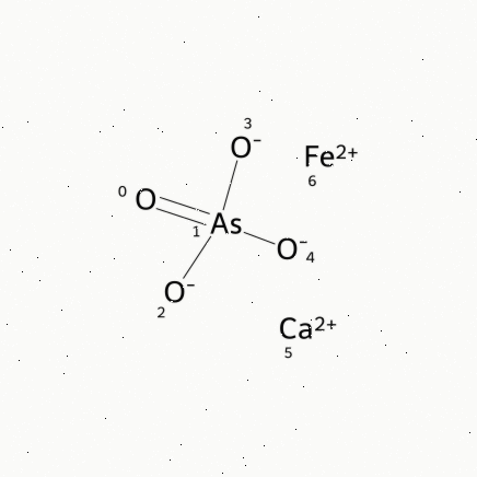 O=[As]([O-])([O-])[O-].[Ca+2].[Fe+2]